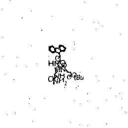 CC(C)(C)OC(=O)CCCNC(=O)[C@H](CCCNC(N)=O)NC(=O)OCC1c2ccccc2-c2ccccc21